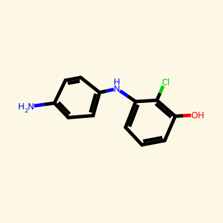 Nc1ccc(Nc2cccc(O)c2Cl)cc1